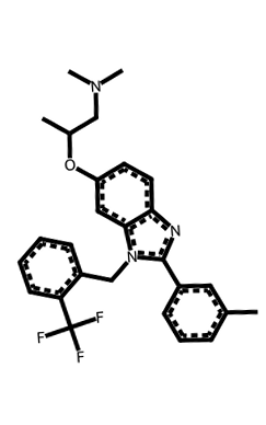 Cc1cccc(-c2nc3ccc(OC(C)CN(C)C)cc3n2Cc2ccccc2C(F)(F)F)c1